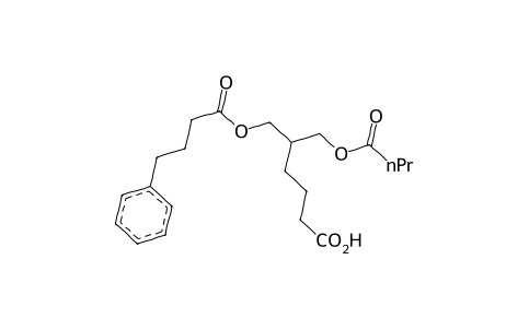 CCCC(=O)OCC(CCCC(=O)O)COC(=O)CCCc1ccccc1